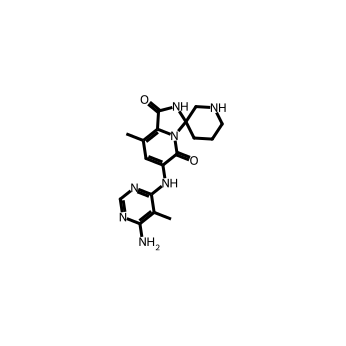 Cc1cc(Nc2ncnc(N)c2C)c(=O)n2c1C(=O)NC21CCCNC1